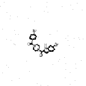 O=C(c1ccc(Br)cc1)N1CCN(C(=O)c2cc3ccc(Br)cc3[nH]2)CC1